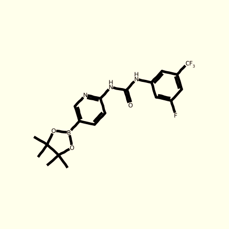 CC1(C)OB(c2ccc(NC(=O)Nc3cc(F)cc(C(F)(F)F)c3)nc2)OC1(C)C